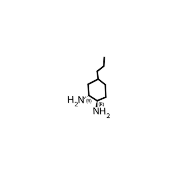 CCCC1CC[C@@H](N)[C@H](N)C1